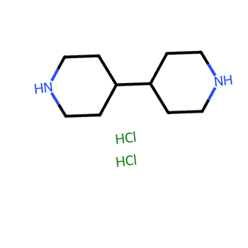 C1CC(C2CCNCC2)CCN1.Cl.Cl